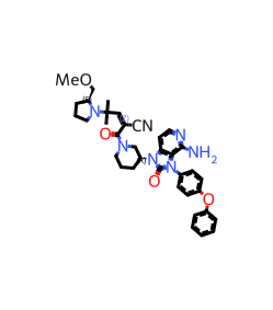 COC[C@@H]1CCCN1C(C)(C)/C=C(/C#N)C(=O)N1CCC[C@@H](n2c(=O)n(-c3ccc(Oc4ccccc4)cc3)c3c(N)nccc32)C1